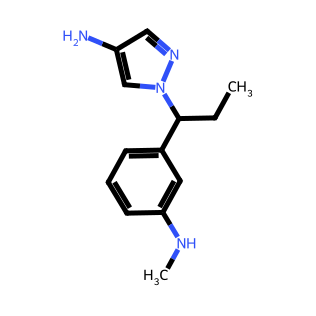 CCC(c1cccc(NC)c1)n1cc(N)cn1